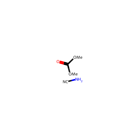 COC(=O)OC.N#CN